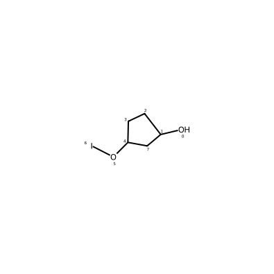 OC1CCC(OI)C1